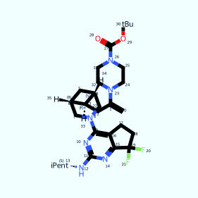 C=C(C[C@@H]1[C@@H]2C[C@H]1CN(c1nc(N[C@@H](C)CCC)nc3c1CCC3(F)F)C2)N1CCN(C(=O)OC(C)(C)C)CC1